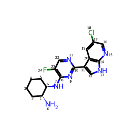 N[C@@H]1CCCC[C@H]1Nc1nc(-c2c[nH]c3ncc(Cl)cc23)ncc1F